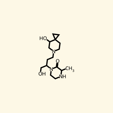 CC1NCCN(C(CO)CCN2CCC3(CC3)C(O)C2)C1=O